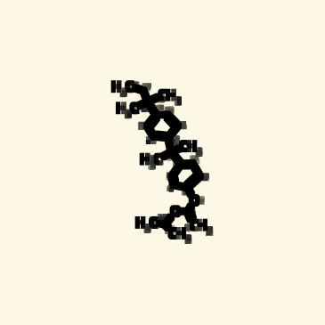 C=C(Oc1ccc(C(C)(C)c2ccc(C(C)(C)CC)cc2)cc1)OC(C)C